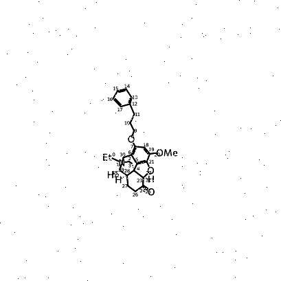 CCN1CC[C@]23c4c5c(OCCCc6ccccc6)cc(OC)c4O[C@H]2C(=O)CC[C@H]3[C@H]1C5